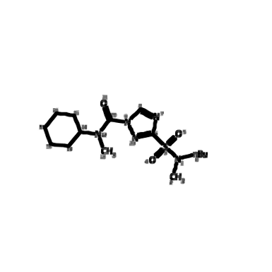 CCCCN(C)S(=O)(=O)c1ncn(C(=O)N(C)C2CCCCC2)n1